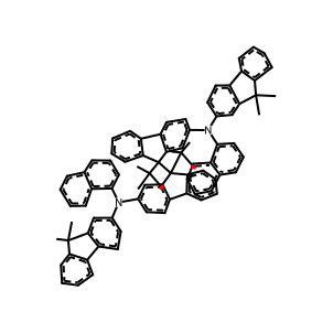 CC1(C)c2ccccc2-c2ccc(N(c3ccc4c(c3)C(C(C)(C)C)(C3(C(C)(C)C)c5ccccc5-c5ccc(N(c6ccc7c(c6)C(C)(C)c6ccccc6-7)c6cccc7ccccc67)cc53)c3ccccc3-4)c3cccc4ccccc34)cc21